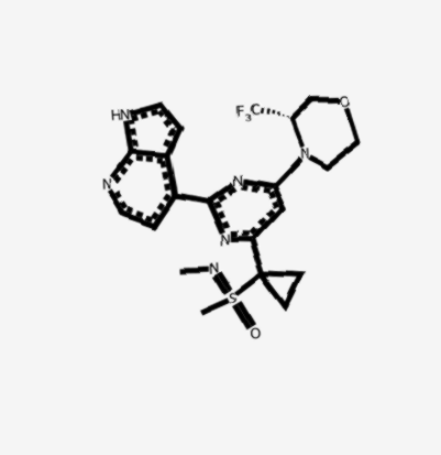 CN=S(C)(=O)C1(c2cc(N3CCOC[C@H]3C(F)(F)F)nc(-c3ccnc4[nH]ccc34)n2)CC1